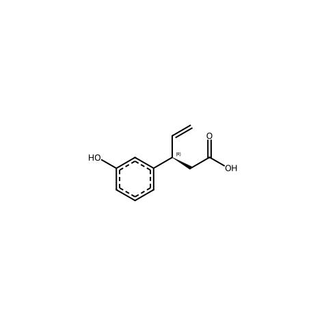 C=C[C@@H](CC(=O)O)c1cccc(O)c1